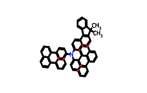 CC1(C)c2ccccc2-c2c1ccc1cc(N(c3ccc(-c4cccc5cccc(-c6ccccc6)c45)cc3)c3ccccc3-c3cccc4cccc(-c5ccccc5)c34)ccc21